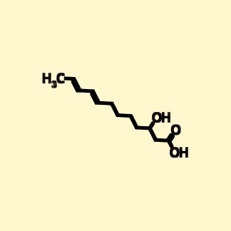 C/C=C/C=C/CCCCC(O)CC(=O)O